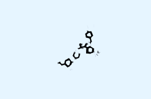 COc1ccc(Cn2cc(C(O)(CN3CCC(Oc4ccc(CC(=O)O)cc4OC)CC3)C(F)(F)F)c3ccc([N+](=O)[O-])cc32)cc1